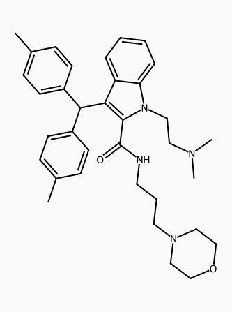 Cc1ccc(C(c2ccc(C)cc2)c2c(C(=O)NCCCN3CCOCC3)n(CCN(C)C)c3ccccc23)cc1